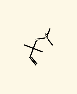 C=CC(C)(C)O[SiH](C)C